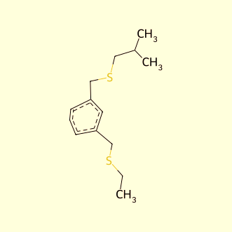 CCSCc1cccc(CSCC(C)C)c1